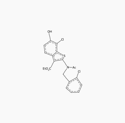 CCOC(=O)c1c(N(Cc2ccccc2Cl)C(C)=O)sc2c(Cl)c(O)ccc12